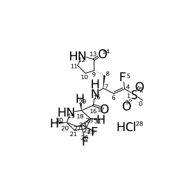 CS(=O)(=O)/C(F)=C/[C@H](C[C@@H]1CCNC1=O)NC(=O)[C@H]1N[C@H]2CC[C@@H]1C(F)(F)C2.Cl